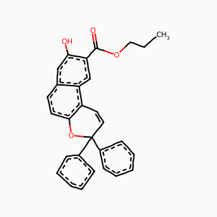 CCCOC(=O)c1cc2c3c(ccc2cc1O)OC(c1ccccc1)(c1ccccc1)C=C3